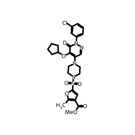 COC(=O)c1cc(S(=O)(=O)N2CCN(c3cnn(-c4cccc(Cl)c4)c(=O)c3OC3CCCC3)CC2)oc1C